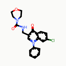 O=C(NCc1cn(-c2ccccc2)c2cc(Cl)ccc2c1=O)N1CCOCC1